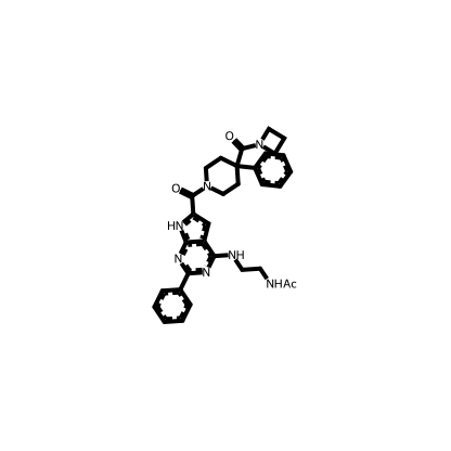 CC(=O)NCCNc1nc(-c2ccccc2)nc2[nH]c(C(=O)N3CCC(C(=O)N4CCC4)(c4ccccc4)CC3)cc12